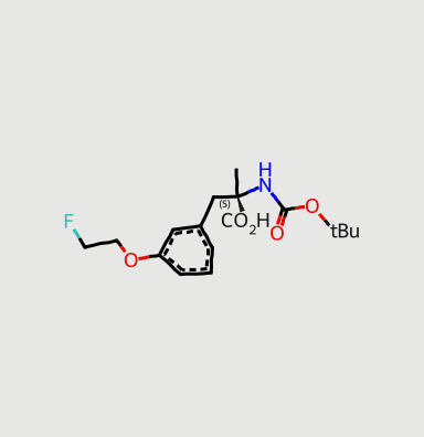 CC(C)(C)OC(=O)N[C@@](C)(Cc1cccc(OCCF)c1)C(=O)O